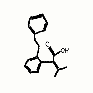 CC(C)=C(C(=O)O)c1ccccc1CCc1ccccc1